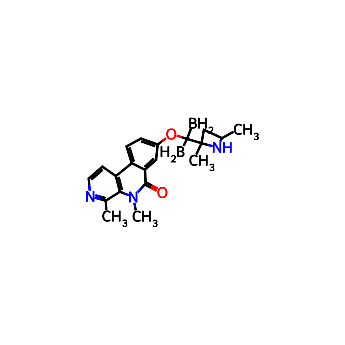 BC(B)(Oc1ccc2c(c1)c(=O)n(C)c1c(C)nccc21)C1(C)CC(C)N1